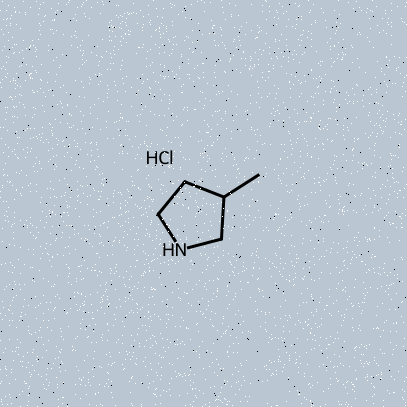 CC1CCNC1.Cl